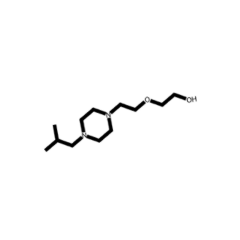 CC(C)CN1CCN(CCOCCO)CC1